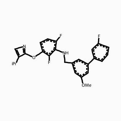 COc1cc(CNc2c(F)ccc(OC3=NC=C3C(C)C)c2F)cc(-c2cccc(F)c2)c1